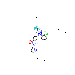 O=C(NCc1cccnc1)c1ccc(-c2cc(C(F)(F)F)nn2-c2ccccc2Cl)cc1